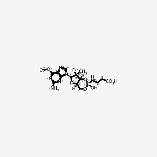 CCOc1nc(N)nc2c1ncn2[C@@H]1O[C@@H]2CO[PH](O)(NCCC(=O)O)O[C@H]2[C@@]1(C)F